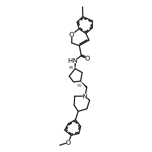 COc1ccc(C2CCN(C[C@H]3CC[C@@H](NC(=O)C4=Cc5ccc(C)cc5OC4)C3)CC2)cc1